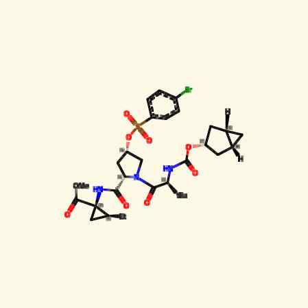 CC[C@H]1C[C@]1(NC(=O)[C@@H]1C[C@H](OS(=O)(=O)c2ccc(Br)cc2)CN1C(=O)[C@@H](NC(=O)O[C@@H]1C[C@@H]2C[C@@H]2C1)C(C)(C)C)C(=O)OC